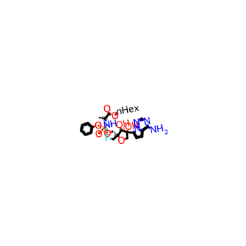 CCCCCCOC(=O)[C@H](C)N[P@](=O)(OC[C@@]1(CF)OCC(O)(c2ccc3c(N)ncnn23)[C@@H]1O)Oc1ccccc1